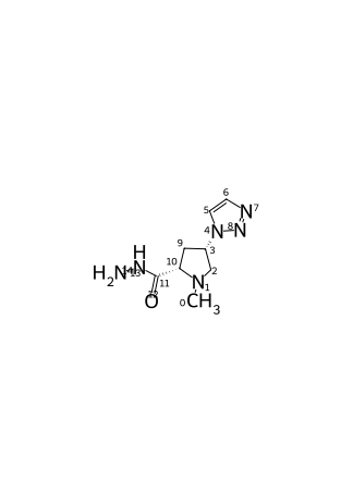 CN1C[C@@H](n2ccnn2)C[C@H]1C(=O)NN